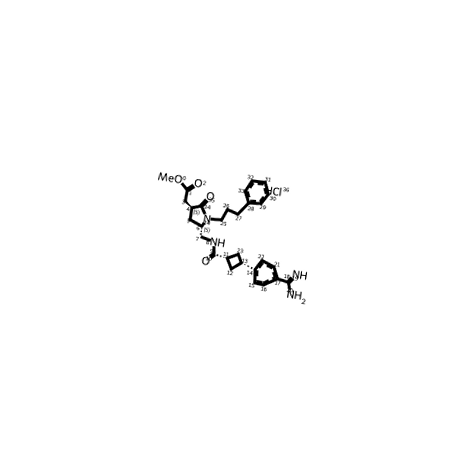 COC(=O)C[C@@H]1C[C@@H](CNC(=O)[C@H]2C[C@@H](c3ccc(C(=N)N)cc3)C2)N(CCCc2ccccc2)C1=O.Cl